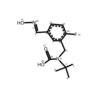 CC(C)(C)N(Cc1cc(/C=N/O)ccc1F)C(=O)O